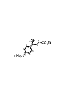 CCCCCCCc1ccc(C(O)CCC(=O)OCC)cc1